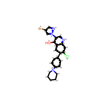 Oc1c(-n2cc(Br)cn2)cnc2cc(Cl)c(-c3ccc(N4CCCCC4)cc3)cc12